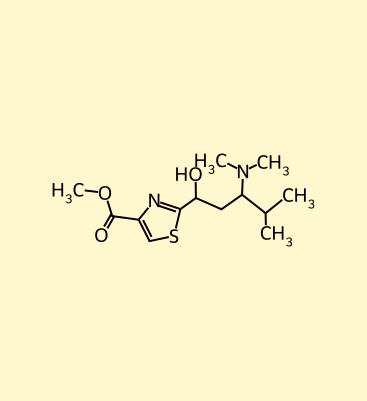 COC(=O)c1csc(C(O)CC(C(C)C)N(C)C)n1